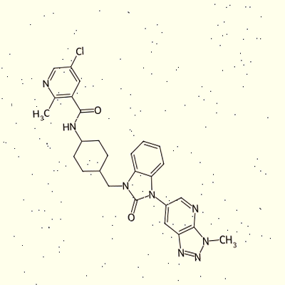 Cc1ncc(Cl)cc1C(=O)NC1CCC(Cn2c(=O)n(-c3cnc4c(c3)nnn4C)c3ccccc32)CC1